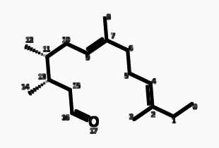 CCC(C)=CCCC(C)=CC[C@@H](C)[C@@H](C)CC=O